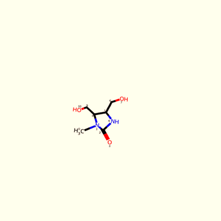 CN1C(=O)NC(CO)C1CO